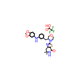 CC1(C)Cc2nc(N3CCOCC3Cc3cccc(Nc4ccc5c(c4)OCO5)c3)sc2C(=O)N1.O=C(O)C(F)(F)F